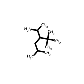 CC(C)CC(C(C)N)C(C)(C)N